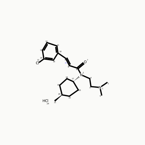 CN(C)CCN(C(=O)/C=C/c1cccc(Cl)c1)[C@H]1CC[C@H](C)CC1.Cl